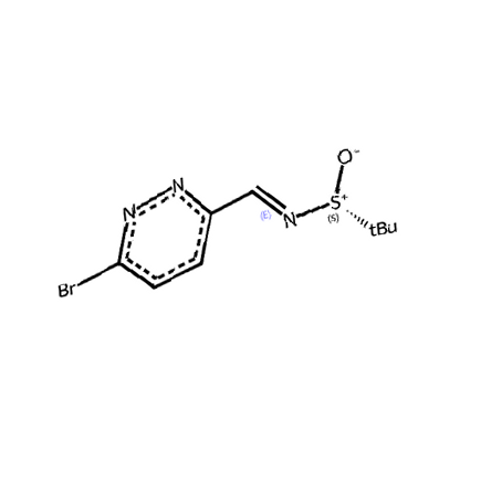 CC(C)(C)[S@@+]([O-])/N=C/c1ccc(Br)nn1